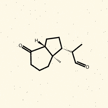 CC(C=O)[C@H]1CC[C@H]2C(=O)CCC[C@]12C